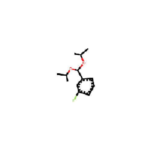 CC(C)O[C](OC(C)C)c1cccc(F)c1